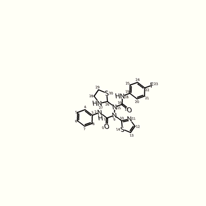 O=C(Nc1ccccc1)N(c1nccs1)N(C(=O)Nc1ccc(F)cc1)C1NCCS1